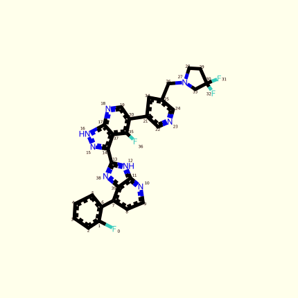 Fc1ccccc1-c1ccnc2[nH]c(-c3n[nH]c4ncc(-c5cncc(CN6CCC(F)(F)C6)c5)c(F)c34)nc12